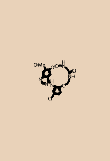 COc1cc2ncnc3c2cc1OCCNCC(=O)NCCCc1ccc(Cl)cc1N3